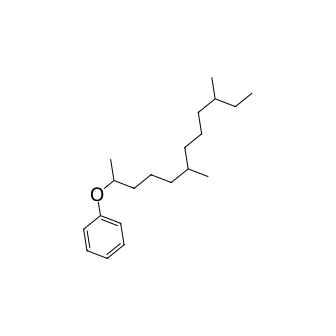 CCC(C)CCCC(C)CCCC(C)Oc1ccccc1